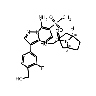 CS(=O)(=O)c1c([C@@H]2C[C@H]3CC[C@@H](C2)N3C(=O)CO)nc2c(-c3ccc(CO)c(F)c3)cnn2c1N